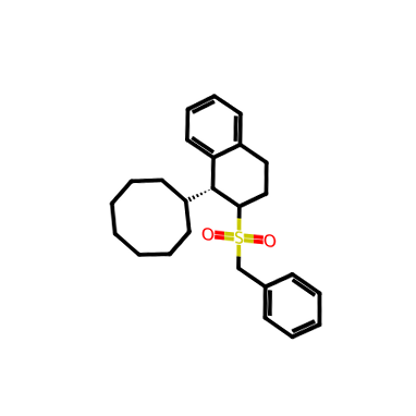 O=S(=O)(Cc1ccccc1)C1CCc2ccccc2[C@H]1C1CCCCCCC1